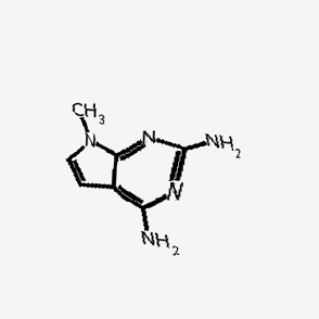 Cn1ccc2c(N)nc(N)nc21